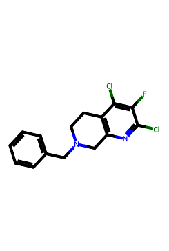 Fc1c(Cl)nc2c(c1Cl)CCN(Cc1ccccc1)C2